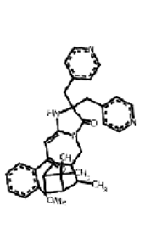 COc1ccccc1C(=O)/C=C1/NC(Cc2ccncc2)(Cc2ccncc2)C(=O)N1CC1CC2CC(C1C)C2(C)C